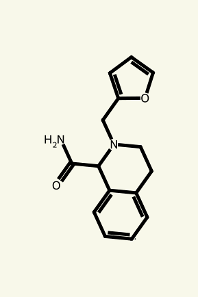 NC(=O)C1c2cc[c]cc2CCN1Cc1ccco1